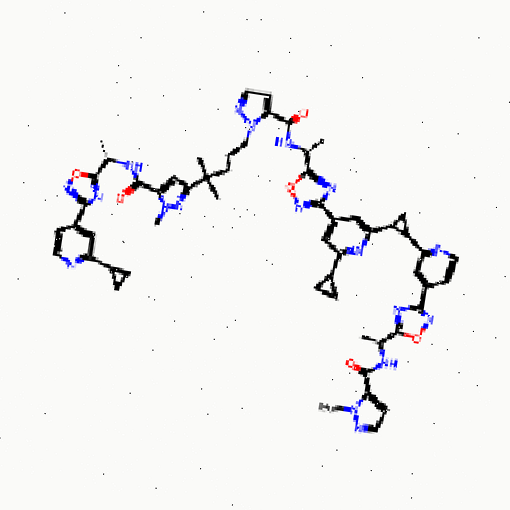 C[C@H](NC(=O)c1cc(C(C)(C)CCCn2nccc2C(=O)N[C@@H](C)c2nc(-c3cc(C4CC4)nc(C4CC4c4cc(-c5noc([C@H](C)NC(=O)c6ccnn6C(C)(C)C)n5)ccn4)c3)no2)nn1C)c1nc(-c2ccnc(C3CC3)c2)no1